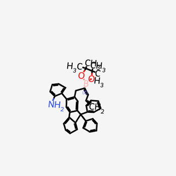 C=C/C=C(\Cc1cc2c(cc1-c1ccccc1N)-c1ccccc1C2(c1ccccc1)c1ccccc1)B1OC(C)(C)C(C)(C)O1